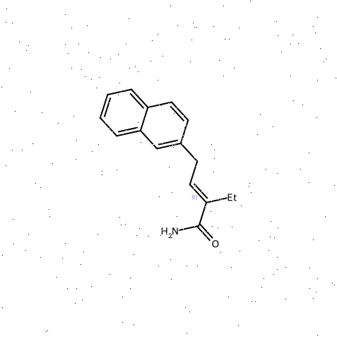 CC/C(=C\Cc1ccc2ccccc2c1)C(N)=O